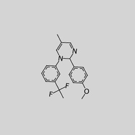 COc1ccc(C2N=CC(C)=CN2c2cccc(C(C)(F)F)c2)cc1